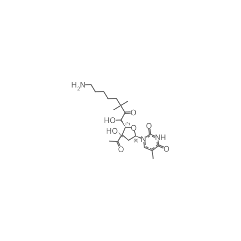 CC(=O)[C@]1(O)C[C@H](n2cc(C)c(=O)[nH]c2=O)O[C@@H]1C(O)C(=O)C(C)(C)CCCCCN